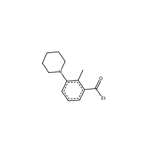 CCC(=O)c1cccc(N2CCCCC2)c1C